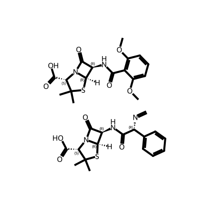 C=N[C@@H](C(=O)N[C@@H]1C(=O)N2[C@@H]1SC(C)(C)[C@@H]2C(=O)O)c1ccccc1.COc1cccc(OC)c1C(=O)N[C@@H]1C(=O)N2[C@@H]1SC(C)(C)[C@@H]2C(=O)O